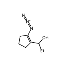 CCC(O)C1=C(N=[N+]=[N-])CCC1